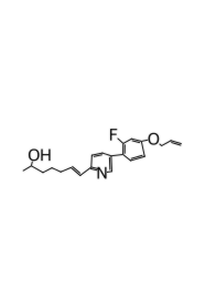 C=CCOc1ccc(-c2ccc(C=CCCCC(C)O)nc2)c(F)c1